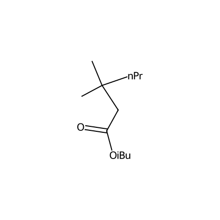 CCCC(C)(C)CC(=O)OCC(C)C